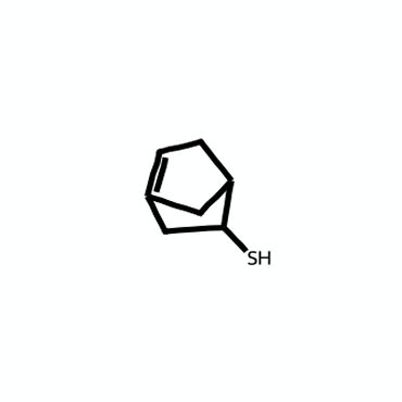 SC1CC2=CCC1C2